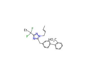 C/C=C/Cn1nc(C(F)(F)CC)nc1Cc1ccc(-c2ccccc2C(=O)O)cc1